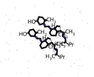 C=C1CC[C@H](O)C/C1=C/C=C1\CCC[C@]2(C)[C@@H]([C@H](C)/C=C/[C@H](C)C(C)C)CC[C@@H]12.C=C1CC[C@H](O)C/C1=C/C=C1\CCC[C@]2(C)[C@@H]([C@H](C)/C=C/[C@H](C)C(C)C)CC[C@@H]12